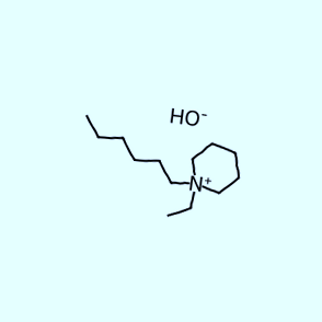 CCCCCC[N+]1(CC)CCCCC1.[OH-]